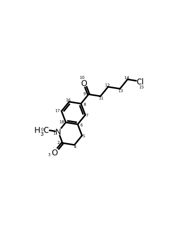 CN1C(=O)CCc2cc(C(=O)CCCCCl)ccc21